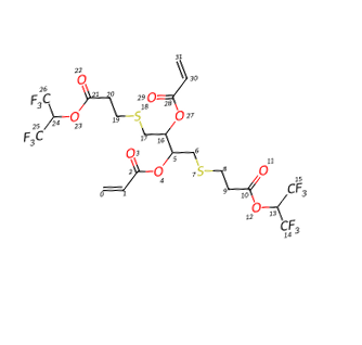 C=CC(=O)OC(CSCCC(=O)OC(C(F)(F)F)C(F)(F)F)C(CSCCC(=O)OC(C(F)(F)F)C(F)(F)F)OC(=O)C=C